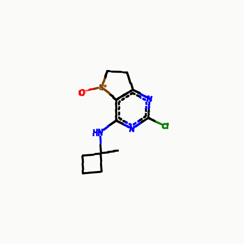 CC1(Nc2nc(Cl)nc3c2[S+]([O-])CC3)CCC1